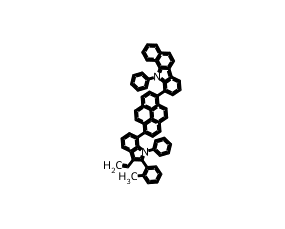 C=Cc1c(-c2ccccc2C)n(-c2ccccc2)c2c(-c3ccc4ccc5c(-c6cccc7c8ccc9ccccc9c8n(-c8ccccc8)c67)ccc6ccc3c4c65)cccc12